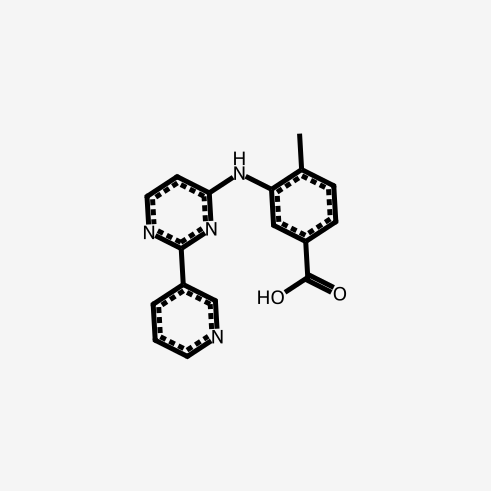 Cc1ccc(C(=O)O)cc1Nc1ccnc(-c2cccnc2)n1